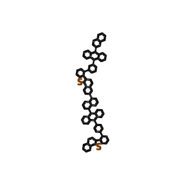 c1cc(-c2c3ccccc3c(-c3ccc4ccccc4c3)c3ccccc23)cc(-c2cccc3sc4c5ccc(-c6cccc7c(-c8c9ccccc9c(-c9ccc(-c%10cccc%11sc%12c%13ccccc%13ccc%12c%10%11)cc9)c9ccccc89)cccc67)cc5ccc4c23)c1